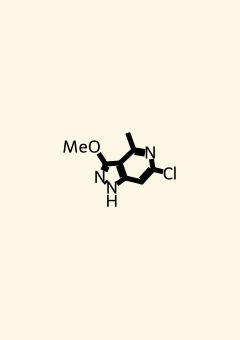 COc1n[nH]c2cc(Cl)nc(C)c12